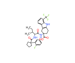 CCC(C)C(NC(=O)C1(c2ccccc2F)CCCC1)C(=O)NC1(C(=O)O)CCc2[nH]c3c(C(F)(F)F)cccc3c2C1